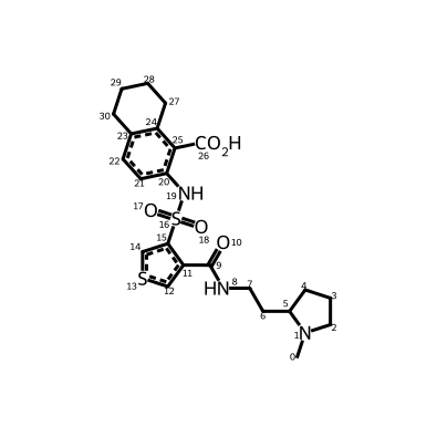 CN1CCCC1CCNC(=O)c1cscc1S(=O)(=O)Nc1ccc2c(c1C(=O)O)CCCC2